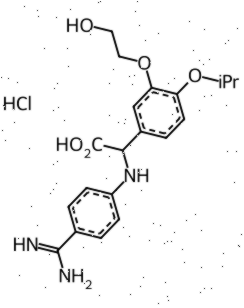 CC(C)Oc1ccc(C(Nc2ccc(C(=N)N)cc2)C(=O)O)cc1OCCO.Cl